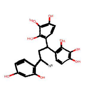 CCCC(CC(c1ccc(O)c(O)c1O)c1ccc(O)c(O)c1O)c1ccc(O)cc1O